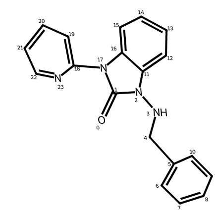 O=c1n(NCc2ccccc2)c2ccccc2n1-c1ccccn1